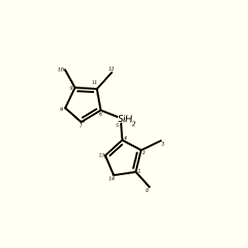 CC1=C(C)C([SiH2]C2=[C]CC(C)=C2C)=[C]C1